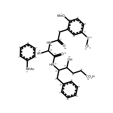 CC(=O)Nc1ccccc1.COc1ccc(OC(F)(F)F)cc1CC(=O)NC(C(=O)NC(Cc1ccccc1)C(O)CCC(=O)O)C(C)C